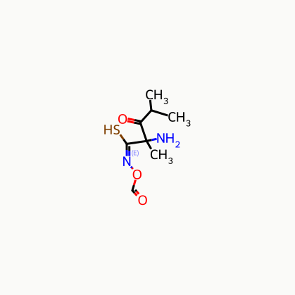 CC(C)C(=O)C(C)(N)/C(S)=N\OC=O